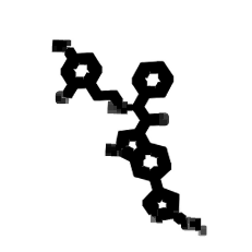 Cn1cc(-c2ccc3c(C(=O)[C@H](NCCc4ccc(C#N)cc4Cl)c4ccccc4)c[nH]c3c2)cn1